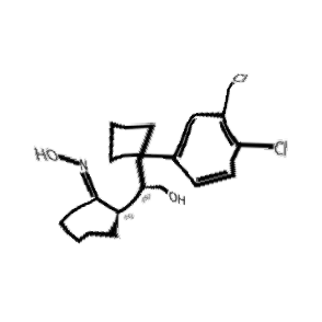 ON=C1CCC[C@@H]1[C@H](O)C1(c2ccc(Cl)c(Cl)c2)CCC1